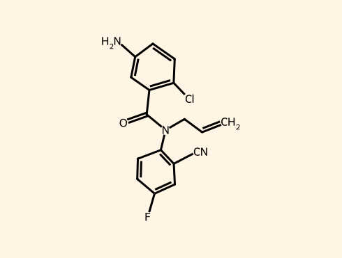 C=CCN(C(=O)c1cc(N)ccc1Cl)c1ccc(F)cc1C#N